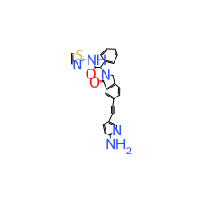 Nc1ccc(C#Cc2ccc3c(c2)C(=O)N(C(C(=O)Nc2nccs2)c2ccccc2)C3)cn1